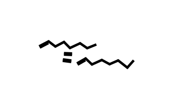 C=C.C=C.C=CCCCCCC.C=CCCCCCC